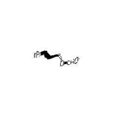 CCCCCSO[C]=O